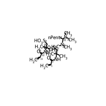 C=CC(=O)NC(C)(C)CS(=O)(=O)O.C=CC(=O)NC(C)(C)CS(=O)(=O)O.CCCCCC(N(C)C)N(C)C